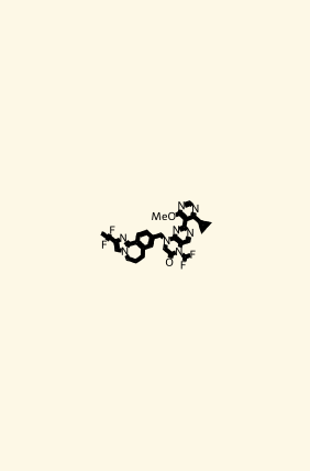 COc1ncnc(C2CC2)c1-c1ncc2c(n1)N(Cc1ccc3c(c1)CCCn1cc(C(C)(F)F)nc1-3)CC(=O)N2C(F)F